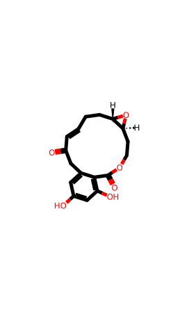 O=C1/C=C/CC[C@@H]2O[C@H]2CCOC(=O)c2c(O)cc(O)cc2C1